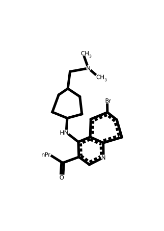 CCCC(=O)c1cnc2ccc(Br)cc2c1NC1CCC(CN(C)C)CC1